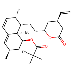 C=C[C@H]1CC(=O)O[C@H](CC[C@H]2[C@@H](C)C=CC3=C[C@H](C)C[C@H](OC(=O)C(C)(C)CC)[C@@]32CC)C1